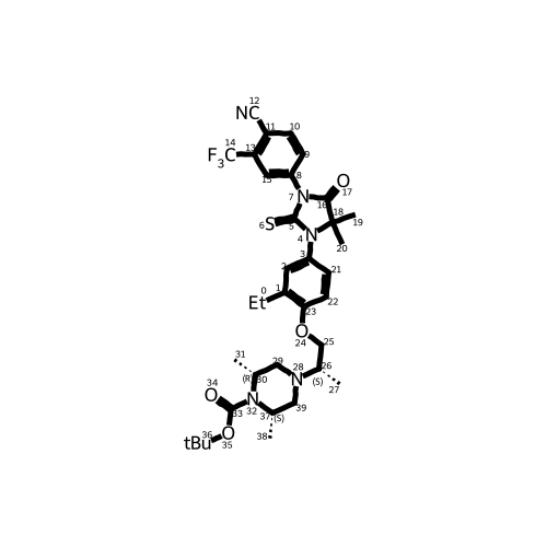 CCc1cc(N2C(=S)N(c3ccc(C#N)c(C(F)(F)F)c3)C(=O)C2(C)C)ccc1OC[C@H](C)N1C[C@@H](C)N(C(=O)OC(C)(C)C)[C@@H](C)C1